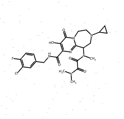 CN(C)C(=O)C(=O)N(C)C1CN(C2CC2)CCn2c1nc(C(=O)NCc1ccc(F)c(Cl)c1)c(O)c2=O